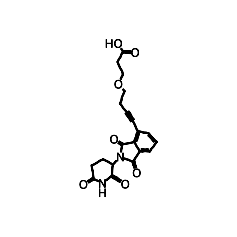 O=C(O)CCOCCC#Cc1cccc2c1C(=O)N(C1CCC(=O)NC1=O)C2=O